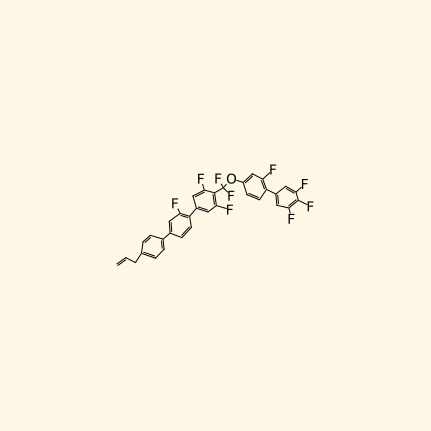 C=CCc1ccc(-c2ccc(-c3cc(F)c(C(F)(F)Oc4ccc(-c5cc(F)c(F)c(F)c5)c(F)c4)c(F)c3)c(F)c2)cc1